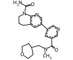 CN(CC1CCOCC1)C(=O)c1cncc(-c2cnc3c(c2)CCCN3C(N)=O)c1